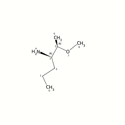 CCC[C@@H](N)[C@@H](C)OC